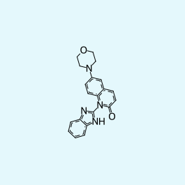 O=c1ccc2cc(N3CCOCC3)ccc2n1-c1nc2ccccc2[nH]1